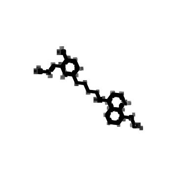 COc1cccc2c(NCCCCc3ccc(O)c(C=NO)n3)ccnc12